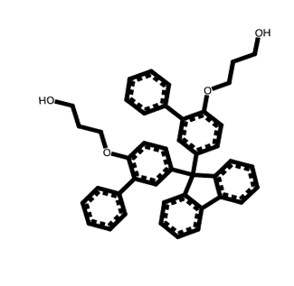 OCCCOc1ccc(C2(c3ccc(OCCCO)c(-c4ccccc4)c3)c3ccccc3-c3ccccc32)cc1-c1ccccc1